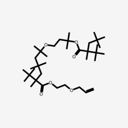 C=CCOCCOC(=O)C(C)(CC(C)(C)CC(C)(C)OCCC(C)(C)OC(=O)C(C)(CC(C)(C)C)C(C)(C)C)C(C)(C)C